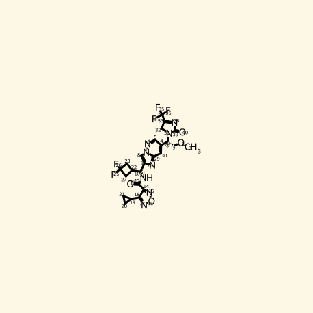 COC[C@H](c1cnn2cc([C@@H](NC(=O)c3nonc3C3CC3)C3CC(F)(F)C3)nc2c1)N1CC(C(F)(F)F)=NC1=O